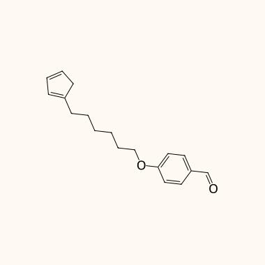 O=Cc1ccc(OCCCCCCC2=CC=CC2)cc1